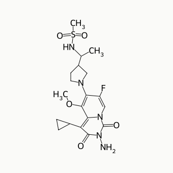 COc1c(N2CCC(C(C)NS(C)(=O)=O)C2)c(F)cn2c(=O)n(N)c(=O)c(C3CC3)c12